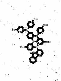 CC(C)(C)c1ccc(N(c2ccc(C(C)(C)C)cc2)c2ccc3c(c2)N(c2ccc(C(C)(C)C)cc2)c2cc(C(C)(C)C)cc4c2B3c2cc(C(C)(C)C)ccc2N4c2cccc3c2C(C)(C)c2ccccc2-3)cc1